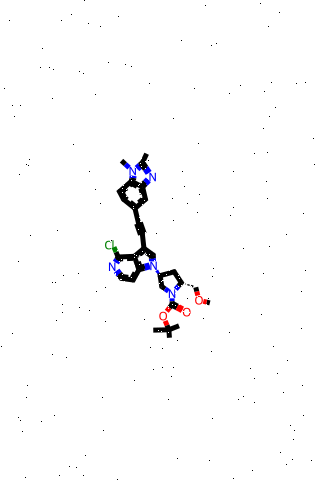 COC[C@H]1C[C@H](n2cc(C#Cc3ccc4c(c3)nc(C)n4C)c3c(Cl)nccc32)CN1C(=O)OC(C)(C)C